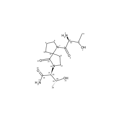 CC(O)[C@H](N)C(=O)N1CCCC12CCN([C@H](C(N)=O)[C@@H](C)O)C2=O